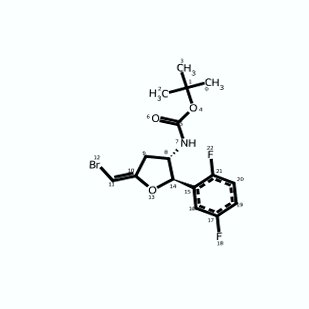 CC(C)(C)OC(=O)N[C@H]1C/C(=C\Br)O[C@@H]1c1cc(F)ccc1F